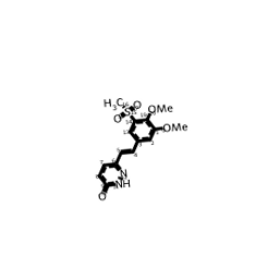 COc1cc(/C=C/c2ccc(=O)[nH]n2)cc(S(C)(=O)=O)c1OC